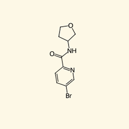 O=C(NC1CCOC1)c1ccc(Br)cn1